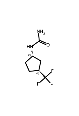 NC(=O)N[C@H]1CC[C@H](C(F)(F)F)C1